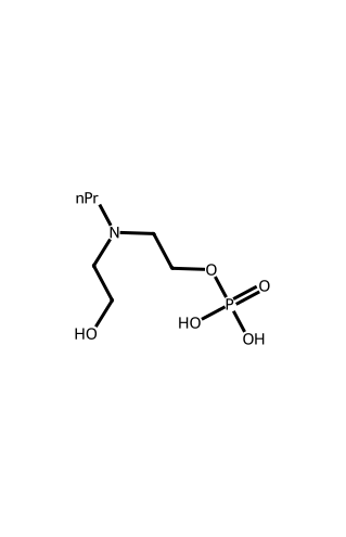 CCCN(CCO)CCOP(=O)(O)O